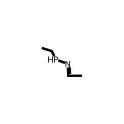 C/C=N/PCC